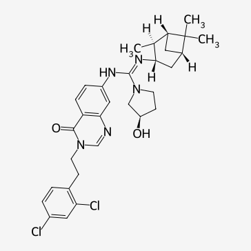 C[C@@H]1[C@@H](/N=C(/Nc2ccc3c(=O)n(CCc4ccc(Cl)cc4Cl)cnc3c2)N2CC[C@@H](O)C2)C[C@@H]2C[C@H]1C2(C)C